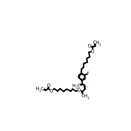 C=CC(=O)OCCCCCCCCOC(=C)/C=C\C(=C)c1ccc(CCCCCCCOC(=O)C=C)c(F)c1